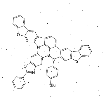 CC(C)(C)c1ccc(N2B3c4cc5nc(-c6ccccc6)oc5cc4-n4c5cc6oc7ccccc7c6cc5c5ccc(c3c54)-c3cc4c(cc32)sc2ccccc24)cc1